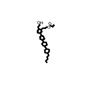 C=CC(=O)OCCCc1cc(-c2ccc(C3CCC(C4CCC(CCCCC)CC4)CC3)cc2)ccc1CCO